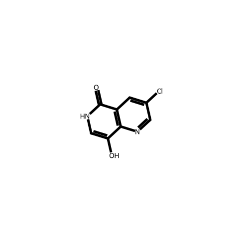 O=c1[nH]cc(O)c2ncc(Cl)cc12